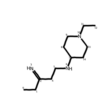 CCC(=N)CCNC1CCN(CC)CC1